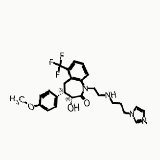 COc1ccc([C@@H]2Cc3c(cccc3C(F)(F)F)N(CCNCCCn3ccnc3)C(=O)[C@@H]2O)cc1